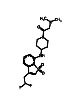 CN(C)CC(=O)N1CCC(Nc2cccc3c2S(=O)(=O)C=C3CC(F)F)CC1